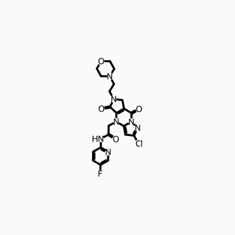 O=C(Cn1c2c(c(=O)n3nc(Cl)cc13)CN(CCN1CCOCC1)C2=O)Nc1ccc(F)cn1